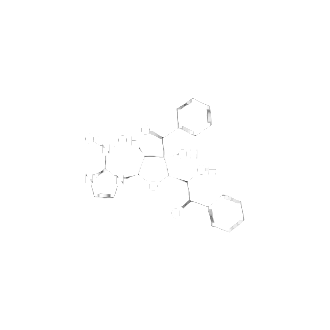 O=C(c1ccccc1)C(O)[C@H]1O[C@@H](n2ccnc2[N+](=O)[O-])[C@@H](F)[C@@]1(O)C(=O)c1ccccc1